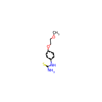 COCCOc1ccc(NC(N)=S)cc1